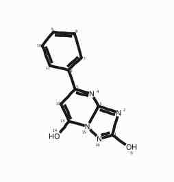 Oc1nc2nc(-c3ccccc3)cc(O)n2n1